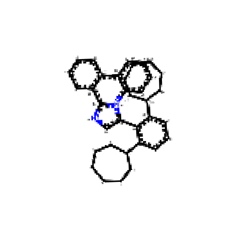 c1cc(C2CCCCCC2)c(-c2cnc3c4ccccc4c4ccccc4n23)c(C2CCCCCC2)c1